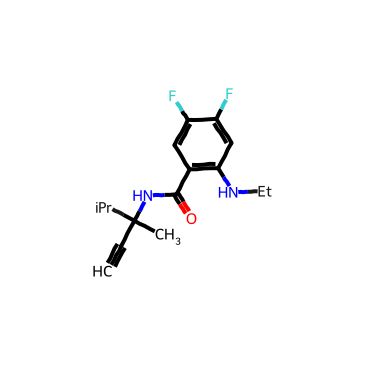 C#CC(C)(NC(=O)c1cc(F)c(F)cc1NCC)C(C)C